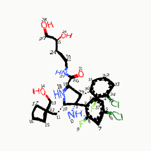 N[C@]1(c2ccc(Cl)cc2F)[C@H](CC2(CO)CCC2)N[C@@H](C(=O)NCC[C@H](O)CO)[C@@H]1c1cccc(Cl)c1F